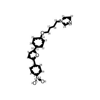 O=[N+]([O-])c1ccc(-c2ccc(-c3ccc(OCCCCn4ccnc4)cc3)o2)cc1